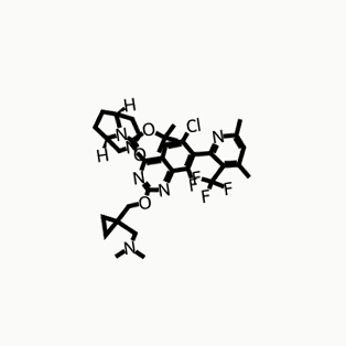 Cc1cc(C)c(C(F)(F)F)c(-c2c(Cl)cc3c(N4CC[C@H]5CC[C@@H](C4)N5C(=O)OC(C)(C)C)nc(OCC4(CN(C)C)CC4)nc3c2F)n1